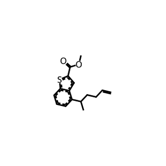 C=CCCC(C)c1cccc2sc(C(=O)OC)cc12